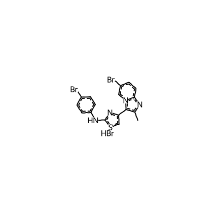 Br.Cc1nc2ccc(Br)cn2c1-c1csc(Nc2ccc(Br)cc2)n1